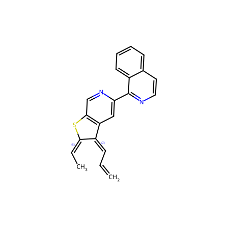 C=C/C=c1\c(=C/C)sc2cnc(-c3nccc4ccccc34)cc12